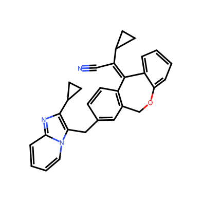 N#CC(=C1c2ccc(Cc3c(C4CC4)nc4ccccn34)cc2COc2ccccc21)C1CC1